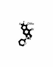 COC1c2c(cc3c(cnn3C3CCCCO3)c2Br)CC1(F)F